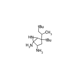 CC(CC(C)(C)C)C1(C(C)(C)C)CC(N)C2(N)NC21